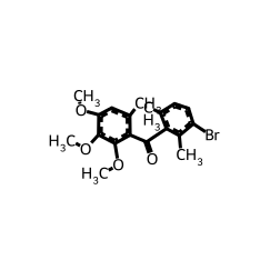 COc1cc(C)c(C(=O)c2c(C)ccc(Br)c2C)c(OC)c1OC